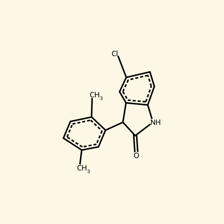 Cc1ccc(C)c(C2C(=O)Nc3ccc(Cl)cc32)c1